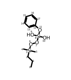 CCC[Si](C)(C)OO[Si](O)(O)Oc1ccccc1